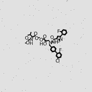 COC(=O)N[C@H](C(=O)OCOC(=O)[C@H](O)CN(Cc1ccc(-c2cc(Cl)ccc2F)cc1)NC(=O)c1cc(-c2ccccc2F)no1)C(C)C